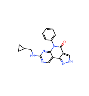 O=c1c2c[nH]nc2c2cnc(NCC3CC3)nc2n1-c1ccccc1